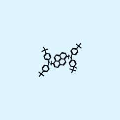 CC(C)(C)c1ccc(N(C2=CCC(C)(C(C)(C)C)C=C2)c2ccc3ccc4c(N(c5ccc(C(C)(C)C)cc5)c5ccc(C(C)(C)C)cc5)ccc5ccc2c3c54)cc1